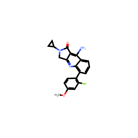 COc1ccc(-c2cccc3c(N)c4c(nc23)CN(C2CC2)C4=O)c(F)c1